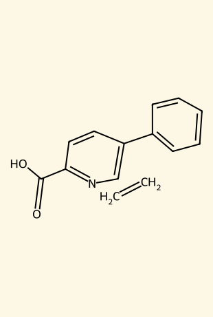 C=C.O=C(O)c1ccc(-c2ccccc2)cn1